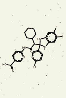 O=C(O)c1ccc(NC(=O)C(C2CCCCC2)C2(c3ccc(Cl)nc3)Nc3cc(F)c(F)cc3N2)nc1